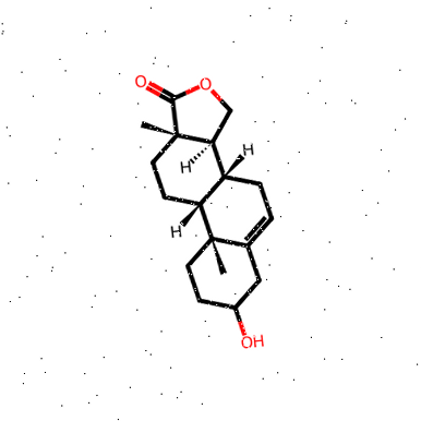 C[C@]12CCC(O)CC1=CC[C@@H]1[C@H]2CC[C@]2(C)C(=O)OC[C@@H]12